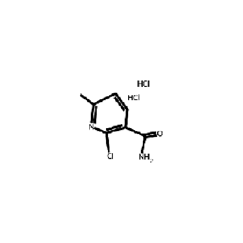 Cc1ccc(C(N)=O)c(Cl)n1.Cl.Cl